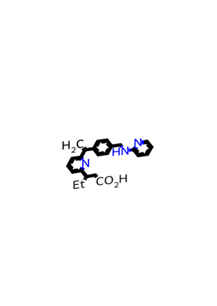 C=C(c1ccc(CNc2ccccn2)cc1)c1cccc(C(CC)CC(=O)O)n1